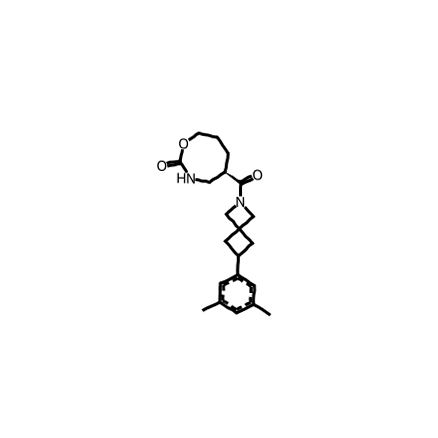 Cc1cc(C)cc(C2CC3(C2)CN(C(=O)[C@@H]2CCCOC(=O)NC2)C3)c1